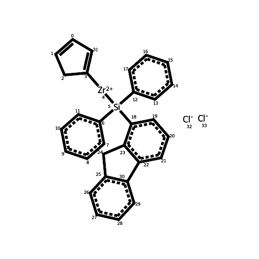 C1=CC[C]([Zr+2][Si](c2ccccc2)(c2ccccc2)c2cccc3c2Cc2ccccc2-3)=C1.[Cl-].[Cl-]